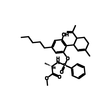 C=C(C)C1CCC(C)=CC1c1c(O)cc(CCCCC)cc1OP(=O)(N[C@@H](C)C(=O)OC)c1ccccc1